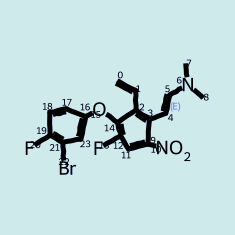 C=Cc1c(/C=C/N(C)C)c([N+](=O)[O-])cc(F)c1Oc1ccc(F)c(Br)c1